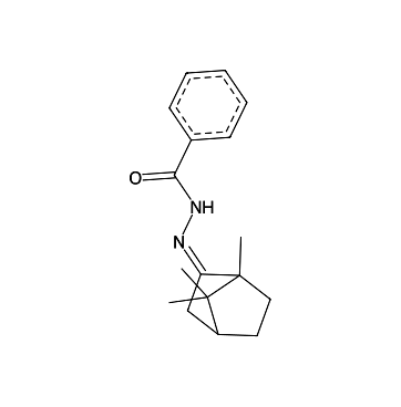 CC12CCC(CC1=NNC(=O)c1ccccc1)C2(C)C